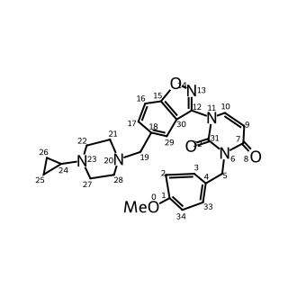 COc1ccc(Cn2c(=O)ccn(-c3noc4ccc(CN5CCN(C6CC6)CC5)cc34)c2=O)cc1